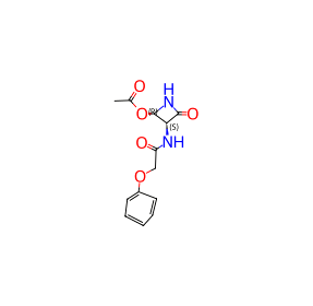 CC(=O)O[C@H]1NC(=O)[C@H]1NC(=O)COc1ccccc1